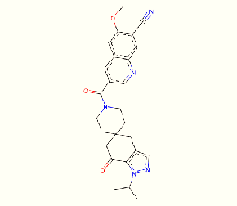 COc1cc2cc(C(=O)N3CCC4(CC3)CC(=O)c3c(cnn3C(C)C)C4)cnc2cc1C#N